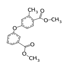 COC(=O)c1cccc(Oc2ccc(C(=O)OC)c(C)c2)c1